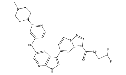 CN1CCN(c2cc(Nc3cnc4[nH]cc(-c5ccn6ncc(C(=O)NCC(F)F)c6c5)c4c3)ccn2)CC1